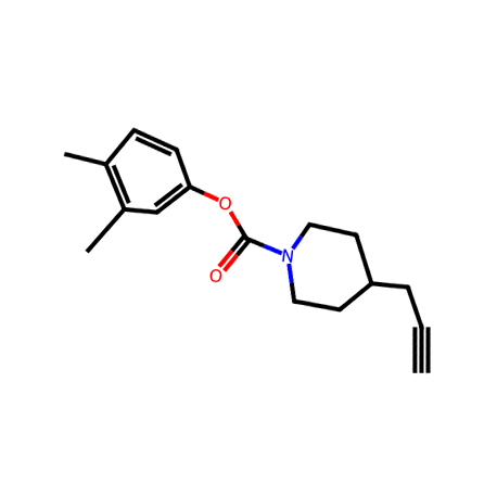 C#CCC1CCN(C(=O)Oc2ccc(C)c(C)c2)CC1